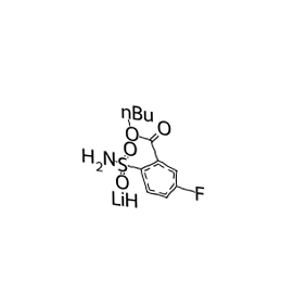 CCCCOC(=O)c1cc(F)ccc1S(N)(=O)=O.[LiH]